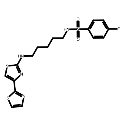 O=S(=O)(NCCCCCNc1nc(-c2nccs2)cs1)c1ccc(F)cc1